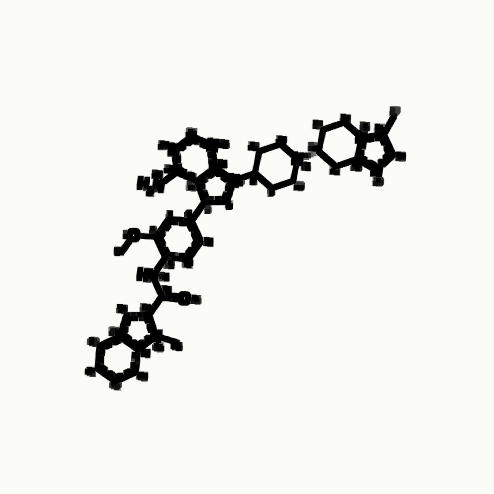 COc1cc(-c2cn(C3CCN([C@@H]4CCn5c(C)cnc5C4)CC3)c3ncnc(N)c23)ccc1NC(=O)c1cc2ccccc2n1C